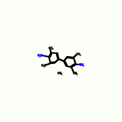 C.Cc1cc(-c2cc(C)c(N)c(C)c2)cc(C)c1N